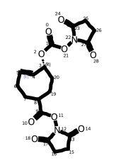 O=C(O[C@H]1/C=C/CCC(C(=O)ON2C(=O)CCC2=O)CC1)ON1C(=O)CCC1=O